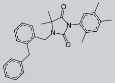 Cc1cc(C)c(N2C(=O)N(Cc3ccccc3Cc3ccccc3)C(C)(C)C2=O)cc1C